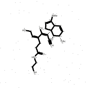 C#C/C(=C(C)\C(=C/CO)CCC(=O)NCCS)[C@]12CC=C(NC)C1C=C[C@H](OC(C)=O)[C@@H]2O